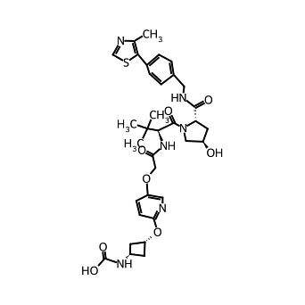 Cc1ncsc1-c1ccc(CNC(=O)[C@@H]2C[C@@H](O)CN2C(=O)[C@@H](NC(=O)COc2ccc(O[C@H]3C[C@@H](NC(=O)O)C3)nc2)C(C)(C)C)cc1